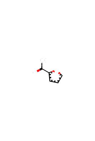 O=C(c1ccco1)C(Cl)(Cl)Cl